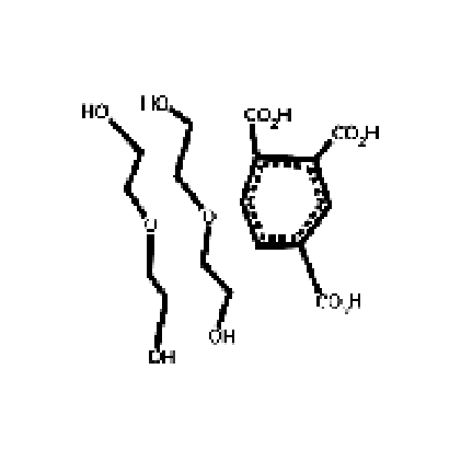 O=C(O)c1ccc(C(=O)O)c(C(=O)O)c1.OCCOCCO.OCCOCCO